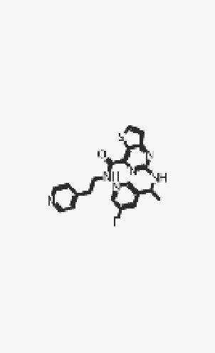 CC(Nc1nc(C(=O)NCCc2ccncc2)c2sccc2n1)c1cncc(F)c1